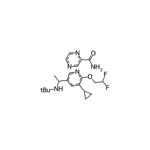 CC(NC(C)(C)C)c1cnc(OCC(F)F)c(C2CC2)c1.NC(=O)c1cnccn1